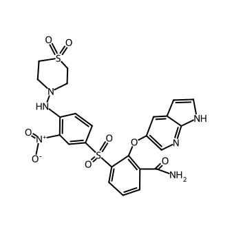 NC(=O)c1cccc(S(=O)(=O)c2ccc(NN3CCS(=O)(=O)CC3)c([N+](=O)[O-])c2)c1Oc1cnc2[nH]ccc2c1